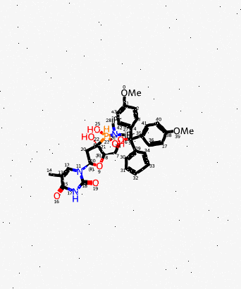 COc1ccc(C(OC[C@H]2O[C@@H](n3cc(C)c(=O)[nH]c3=O)C[C@@]2(O)[PH](O)(O)N(C(C)C)C(C)C)(c2ccccc2)c2ccc(OC)cc2)cc1